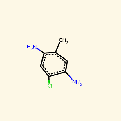 Cc1cc(N)c(Cl)cc1N